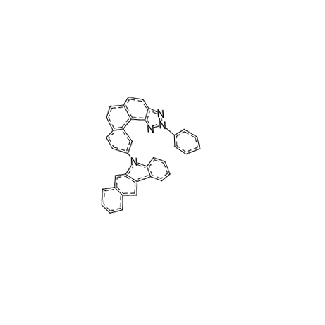 c1ccc(-n2nc3ccc4ccc5ccc(-n6c7ccccc7c7cc8ccccc8cc76)cc5c4c3n2)cc1